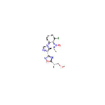 COCC(C)c1nc(-c2ncn3c2c(C)[n+]([O-])c2c(F)cccc23)no1